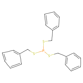 c1ccc(CSP(SCc2ccccc2)SCc2ccccc2)cc1